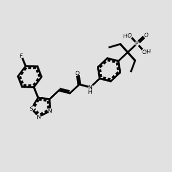 CCC(CC)(c1ccc(NC(=O)C=Cc2nnsc2-c2ccc(F)cc2)cc1)P(=O)(O)O